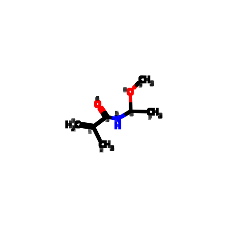 C=C(C)C(=O)NC(C)OC